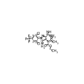 CCOC(=O)N(c1c(C(=N)N)nn(-c2c(Cl)cc(C(F)(F)F)cc2Cl)c1N)[S+](C)[O-]